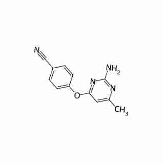 Cc1cc(Oc2ccc(C#N)cc2)nc(N)n1